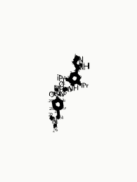 CC(C)c1cc(-c2ccn[nH]2)cc(C(C)C)c1NC(=O)N=S(N)(=O)c1ccc(CN(C)C)cc1